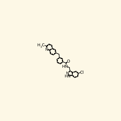 Cc1ccc2cc(Cc3cccc(C(=O)NCc4n[nH]c5ccc(Cl)cc45)c3)ccc2n1